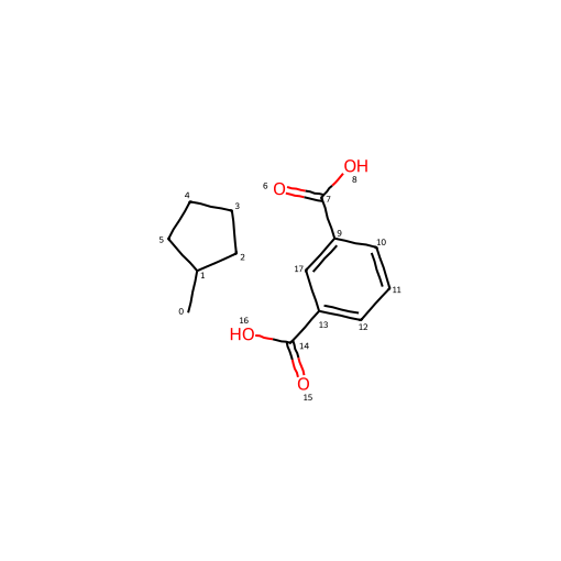 CC1CCCC1.O=C(O)c1cccc(C(=O)O)c1